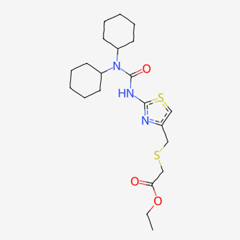 CCOC(=O)CSCc1csc(NC(=O)N(C2CCCCC2)C2CCCCC2)n1